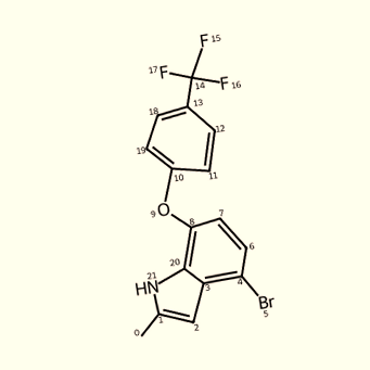 Cc1cc2c(Br)ccc(Oc3ccc(C(F)(F)F)cc3)c2[nH]1